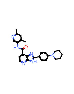 Cc1cc(C)c(NC(=O)c2ccnc3[nH]c(-c4ccc(N5CCCCC5)cc4)nc23)cn1